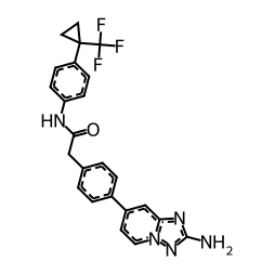 Nc1nc2cc(-c3ccc(CC(=O)Nc4ccc(C5(C(F)(F)F)CC5)cc4)cc3)ccn2n1